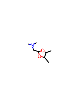 CC1OC(CN(C)C)OC1C